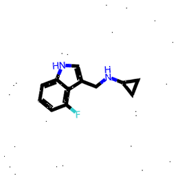 Fc1cccc2[nH]cc(CNC3CC3)c12